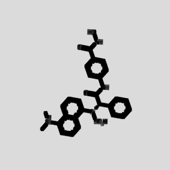 [CH3][SnH]([CH3])[c]1cccc2c(N([C@H](C(=O)Nc3ccc(C(=O)NO)cc3)c3ccccc3)S(=O)(=O)O)cccc12